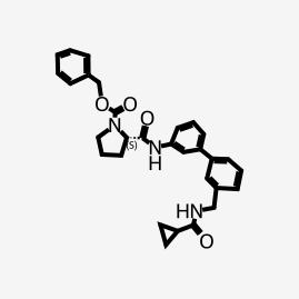 O=C(NCc1cccc(-c2cccc(NC(=O)[C@@H]3CCCN3C(=O)OCc3ccccc3)c2)c1)C1CC1